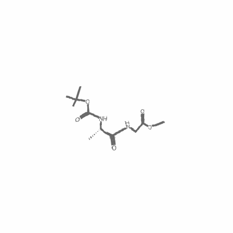 COC(=O)CNC(=O)[C@H](C)NC(=O)OC(C)(C)C